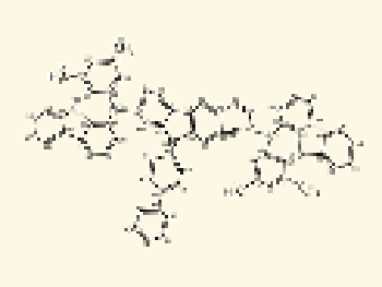 Cc1cc(C)cc(N(c2ccc3cc4c5ccc(N(c6cc(C)cc(C)c6)c6cccc7c6sc6ccccc67)cc5n(-c5ccc(-c6ccccc6)cc5)c4cc3c2)c2cccc3c2sc2ccccc23)c1